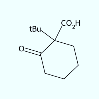 CC(C)(C)C1(C(=O)O)CCCCC1=O